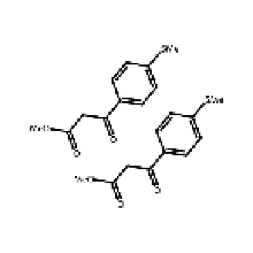 COC(=O)CC(=O)c1ccc(SC)cc1.COC(=O)CC(=O)c1ccc(SC)cc1